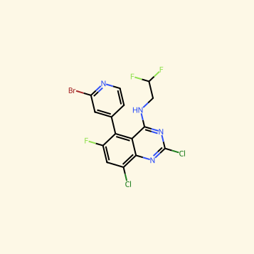 Fc1cc(Cl)c2nc(Cl)nc(NCC(F)F)c2c1-c1ccnc(Br)c1